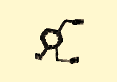 [CH2]Cc1ccc(CO)cc1CO